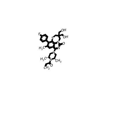 C=CC(=O)N1[C@H](C)CN(c2nc(=O)n3c4c(c(-c5ccc(F)cc5)c(C)cc24)SCC(CO)(CO)C3)C[C@@H]1C